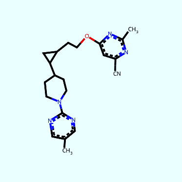 Cc1cnc(N2CCC(C3CC3CCOc3cc(C#N)nc(C)n3)CC2)nc1